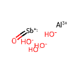 [Al+3].[OH-].[OH-].[OH-].[OH-].[O]=[Sb+]